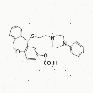 O=C(O)Oc1ccc2c(c1)C(SCCN1CCN(c3ccccc3)CC1)c1ccccc1CO2